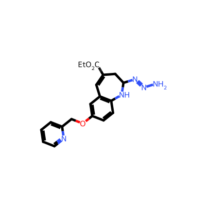 CCOC(=O)C1=Cc2cc(OCc3ccccn3)ccc2NC(N=NN)C1